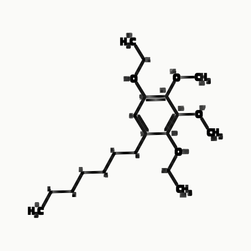 CCCCCCCc1cc(OCC)c(OC)c(OC)c1OCC